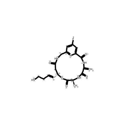 C=C1NC(=O)c2cc(F)cc(n2)CNC(=O)C[C@@H](/C=C/CCS)OC(=O)[C@H](C)NC1=O